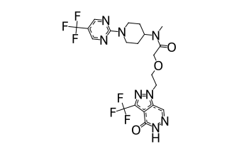 CN(C(=O)COCCn1nc(C(F)(F)F)c2c(=O)[nH]ncc21)C1CCN(c2ncc(C(F)(F)F)cn2)CC1